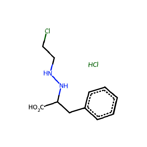 Cl.O=C(O)C(Cc1ccccc1)NNCCCl